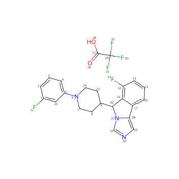 Fc1cccc(N2CCC(C3c4c(F)cccc4-c4cncn43)CC2)c1.O=C(O)C(F)(F)F